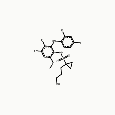 COc1cc(F)c(F)c(Nc2ccc(I)cc2F)c1NS(=O)(=O)C1(CCCO)CC1